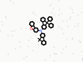 CC1(C)c2ccccc2-c2ccc(N(c3ccc4c(c3)-c3ccccc3C4(c3ccccc3)c3ccccc3)c3ccc4oc5ccccc5c4c3)cc21